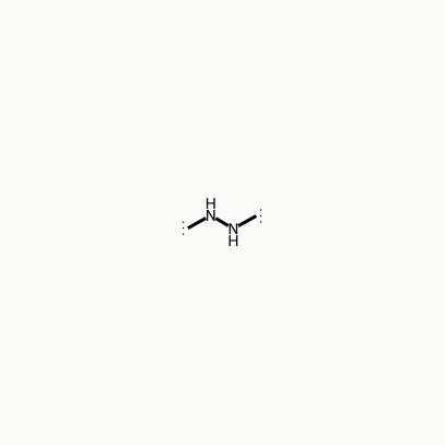 [C]NN[C]